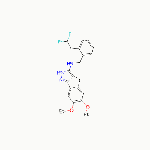 CCOc1cc2c(cc1OCC)-c1n[nH]c(NCc3ccccc3CC(F)F)c1C2